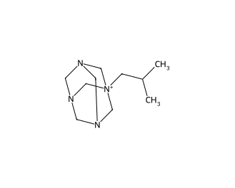 CC(C)C[N+]12CN3CN(CN(C3)C1)C2